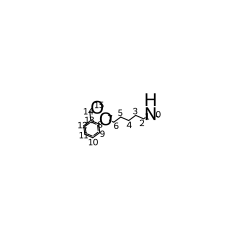 CNCCCCCOc1ccccc1C=O